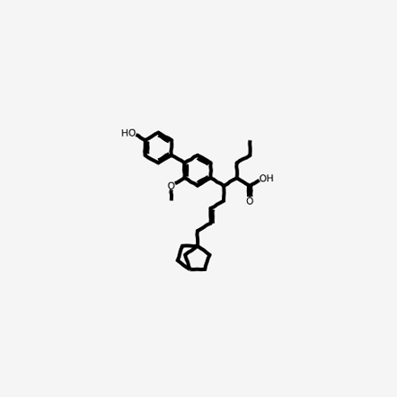 CCCC(C(=O)O)C(CC=CCC12CCC(CC1)C2)c1ccc(-c2ccc(O)cc2)c(OC)c1